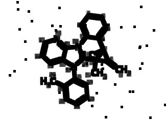 C=C1C2(C)c3ccccc3N3c4ncccc4N(c4ccccc4C)C3C12C